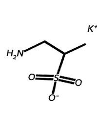 CC(CN)S(=O)(=O)[O-].[K+]